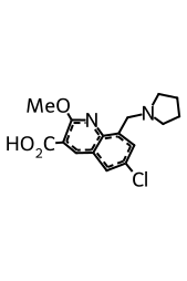 COc1nc2c(CN3CCCC3)cc(Cl)cc2cc1C(=O)O